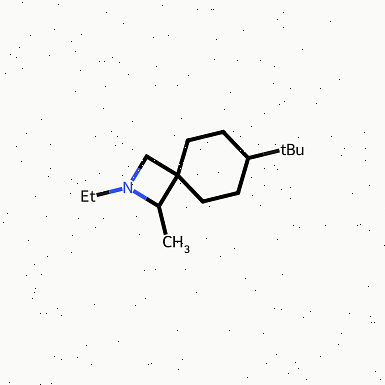 CCN1CC2(CCC(C(C)(C)C)CC2)C1C